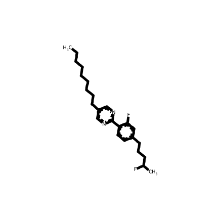 CCCCCCCCCc1cnc(-c2ccc(CCCC(C)F)cc2F)nc1